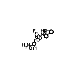 NC(=O)c1cc(CC(=O)N2C[C@H](F)CC2C(=O)Nc2cccc(-c3ccccc3Cl)c2F)ccc1Cl